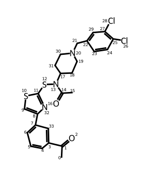 CC(=O)c1cccc(-c2csc(SN(C(C)=O)C3CCN(Cc4ccc(Cl)c(Cl)c4)CC3)n2)c1